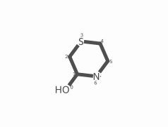 OC1CSCC[N]1